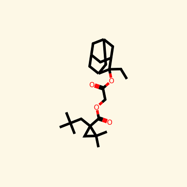 CCC1(OC(=O)COC(=O)C2(CC(C)(C)C)CC2(C)C)C2CC3CC(C2)CC1C3